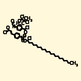 CC(C)(Cl)C(=O)Cl.CCCCCCCCCCCCCCCCCCCCC(=O)Cl.O=C(Cl)C=Cc1ccc([N+](=O)[O-])cc1.O=C=Nc1ccc(C(=O)Cl)cc1